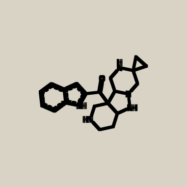 O=C(c1cc2ccccc2[nH]1)C12CNCCC1NN1CC3(CC3)NCC12